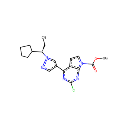 CC(C)(C)OC(=O)n1ccc2c(-c3cnn([C@H](CC#N)C4CCCC4)c3)nc(Cl)nc21